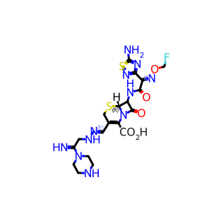 N=C(CN/N=C/C1=C(C(=O)O)N2C(=O)C(NC(=O)/C(=N/OCF)c3nsc(N)n3)[C@H]2SC1)N1CCNCC1